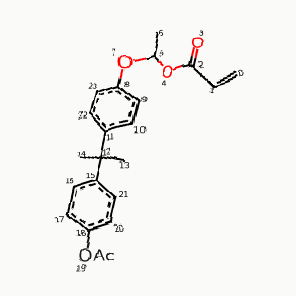 C=CC(=O)OC(C)Oc1ccc(C(C)(C)c2ccc(OC(C)=O)cc2)cc1